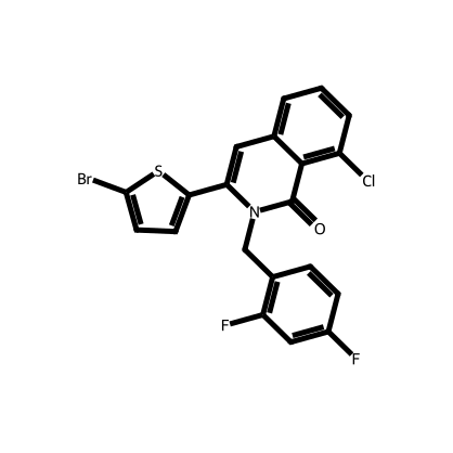 O=c1c2c(Cl)cccc2cc(-c2ccc(Br)s2)n1Cc1ccc(F)cc1F